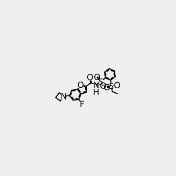 CCS(=O)(=O)c1ccccc1S(=O)(=O)NC(=O)c1cc2c(F)cc(N3CCC3)cc2o1